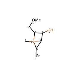 COCC1C(S)C2C(C(C)C)S12C